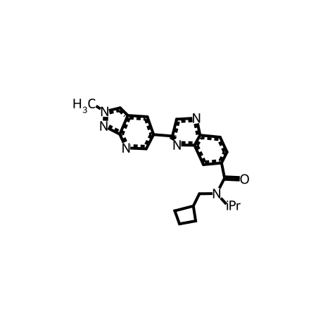 CC(C)N(CC1CCC1)C(=O)c1ccc2ncc(-c3cnc4nn(C)cc4c3)nc2c1